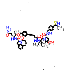 Cc1ncsc1-c1ccc(CNC(=O)[C@@H]2C[C@@H](O)CN2C(=O)[C@@H](NC(=O)CCC#Cc2ccc(CO[C@H](C)[C@H](CCC(N)=O)NC(=O)[C@@H]3Cc4cccc5c4N3C(=O)CCC5)cc2)C(C)(C)C)cc1